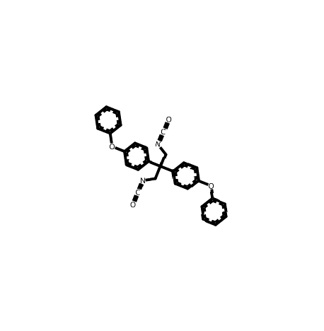 O=C=NCC(CN=C=O)(c1ccc(Oc2ccccc2)cc1)c1ccc(Oc2ccccc2)cc1